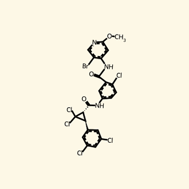 COc1cc(NC(=O)c2cc(NC(=O)[C@@H]3[C@@H](c4cc(Cl)cc(Cl)c4)C3(Cl)Cl)ccc2Cl)c(Br)cn1